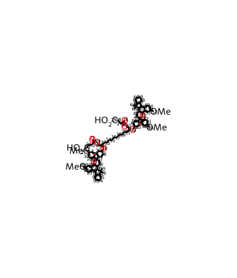 COc1ccc(C2(c3ccc(OC(CCCCCCCCCCC(COC(=O)CCC(=O)O)Oc4ccc(C5(c6ccc(OC)cc6)C=Cc6c7c(c8ccc(OC)cc8c6O5)-c5ccccc5C7(C)C)cc4)COC(=O)CCC(=O)O)cc3)C=Cc3c4c(c5ccc(OC)cc5c3O2)-c2ccccc2C4(C)C)cc1